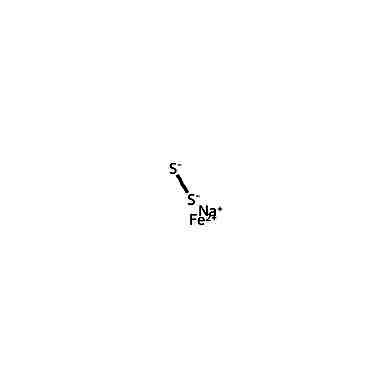 [Fe+2].[Na+].[S-][S-]